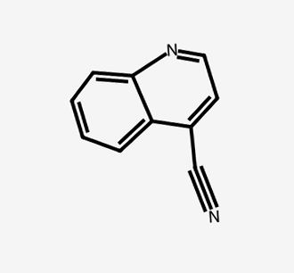 N#Cc1ccnc2ccccc12